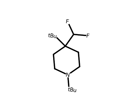 CC(C)(C)N1CCC(C(F)F)(C(C)(C)C)CC1